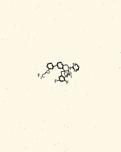 CC1(Cc2cc(F)cc(F)c2F)C(=O)N(c2ncccn2)Cc2ccc(-c3cccc(OCC(F)(F)F)c3)cc21